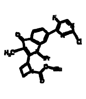 Cc1c(C2CCN2C(=O)OC(C)(C)C)n(C(C)C)c2cc(-c3nc(Cl)ncc3F)ccc2c1=O